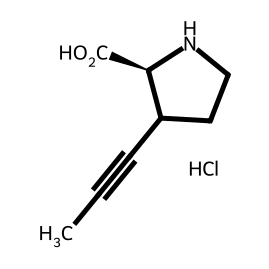 CC#CC1CCN[C@@H]1C(=O)O.Cl